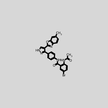 CC(=O)Nc1ccc(Br)cc1C(=O)Nc1ccc(-c2n[nH]cc2-c2nc3ccc(C)cc3o2)cc1